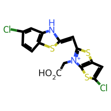 O=C(O)C[n+]1c(/C=C2/Nc3cc(Cl)ccc3S2)sc2cc(Cl)sc21